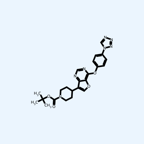 CC(C)(C)OC(=O)N1CCC(c2coc3c(Oc4ccc(-n5cnnn5)cc4)ncnc23)CC1